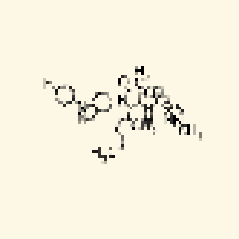 C=C(/C=C\C=C/C)[C@@H]1[C@@H](NC(=O)c2ccn(C)n2)C(C)(C)C(=O)N1c1ccc2c(cnn2-c2ccc(F)cc2)c1